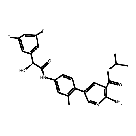 Cc1cc(NC(=O)[C@@H](O)c2cc(F)cc(F)c2)ccc1-c1cnc(N)c(C(=O)OC(C)C)c1